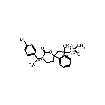 C[C@@H](c1ccc(Br)cc1)N1CCC(CC(C)(C)NS(C)(=O)=O)(c2ccccc2)OC1=O